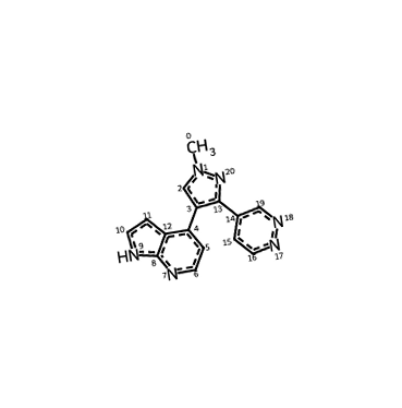 Cn1cc(-c2ccnc3[nH]ccc23)c(-c2ccnnc2)n1